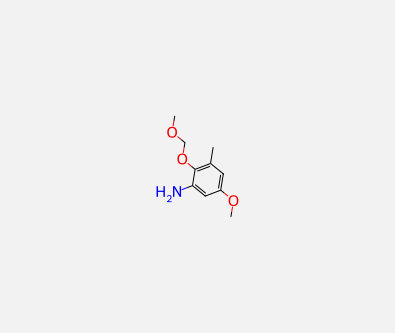 COCOc1c(C)cc(OC)cc1N